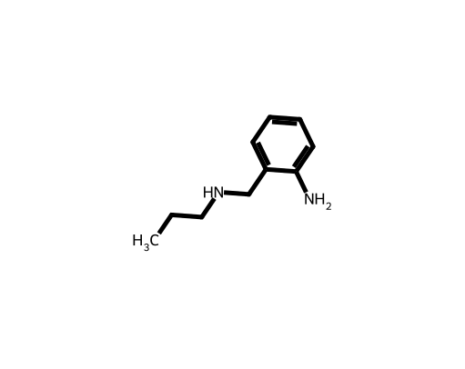 CCCNCc1ccccc1N